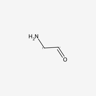 N[C][C]=O